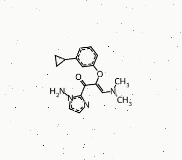 CN(C)C=C(Oc1cccc(C2CC2)c1)C(=O)c1nccn1N